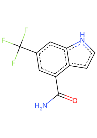 NC(=O)c1cc(C(F)(F)F)cc2[nH]ccc12